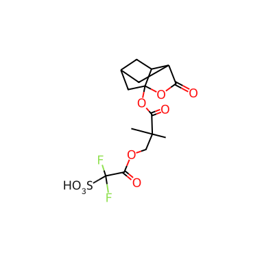 CC(C)(COC(=O)C(F)(F)S(=O)(=O)O)C(=O)OC12CC3CC(C(=O)O1)C2C3